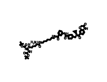 CC(C)(C)OC(=O)/N=C(\NCCC[C@H](N)C(=O)NCCCCCCCNC(=O)c1cccc(NC(=O)c2ccc(CN(C(=O)c3ccc4c(c3)OCC(=O)N4)C3CC3)cc2)c1)NC(=O)OC(C)(C)C